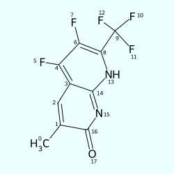 Cc1cc2c(F)c(F)c(C(F)(F)F)[nH]c-2nc1=O